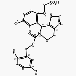 O=C(O)COc1ccc(Cl)cc1C1c2scnc2CCN1C(=O)OCc1cc(F)ccc1F